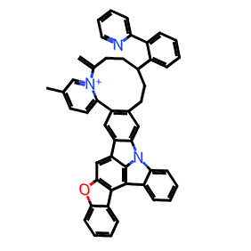 C=C1CCC(c2ccccc2-c2ccccn2)CCc2cc3c(cc2-c2ccc(C)c[n+]21)c1cc2oc4ccccc4c2c2c4ccccc4n3c12